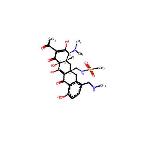 CNCc1ccc(O)c2c1C[C@@]1(CNS(C)(=O)=O)C[C@H]3[C@H](N(C)C)C(O)=C(C(C)=O)C(=O)[C@@]3(O)C(O)=C1C2=O